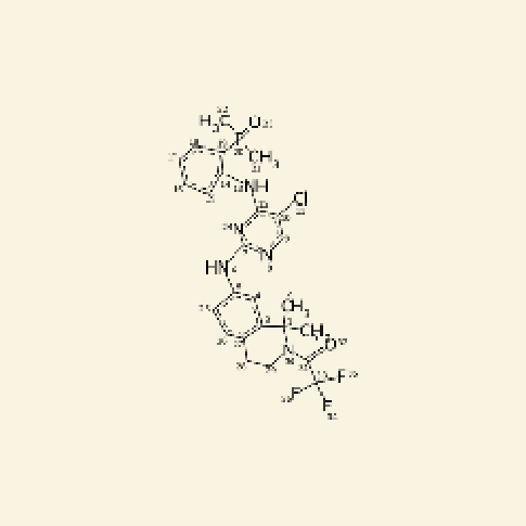 CC1(C)c2cc(Nc3ncc(Cl)c(Nc4ccccc4P(C)(C)=O)n3)ccc2CCN1C(=O)C(F)(F)F